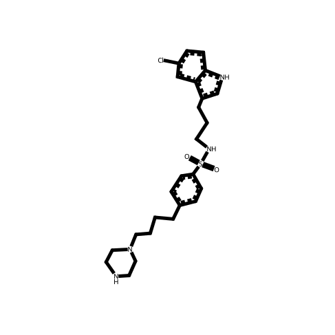 O=S(=O)(NCCCc1c[nH]c2ccc(Cl)cc12)c1ccc(CCCCN2CCNCC2)cc1